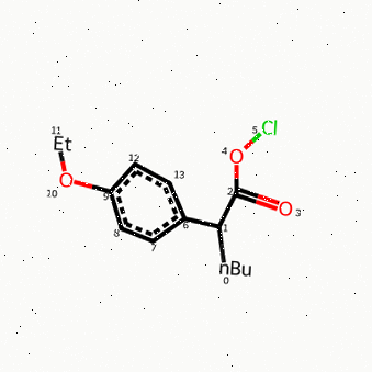 CCCCC(C(=O)OCl)c1ccc(OCC)cc1